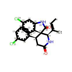 CC=C(CC)[C@H]1NC(=O)C[C@@H](c2cccc(Cl)c2)[C@]12C(=O)Nc1cc(Cl)ccc12